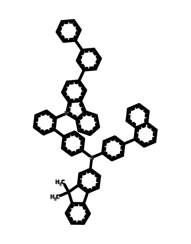 CC1(C)c2ccccc2-c2ccc(N(c3ccc(-c4ccccc4-n4c5ccccc5c5cc(-c6cccc(-c7ccccc7)c6)ccc54)cc3)c3ccc(-c4cccc5ccccc45)cc3)cc21